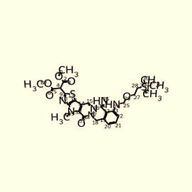 COC(=O)C(C(=O)OC)c1nc2c(s1)c1cnn(Cc3cccc(NCOCC[Si](C)(C)C)c3C=N)c(=O)c1n2C